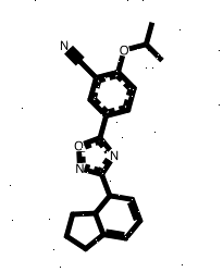 CC(C)Oc1ccc(-c2nc(C3C=CC=C4CCCC43)no2)cc1C#N